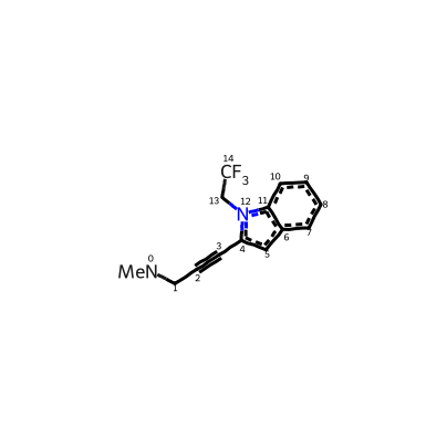 CNCC#Cc1cc2ccccc2n1CC(F)(F)F